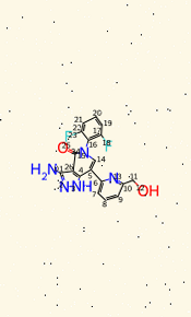 Nc1n[nH]c2c(-c3cccc(CO)n3)cn(-c3c(F)cccc3F)c(=O)c12